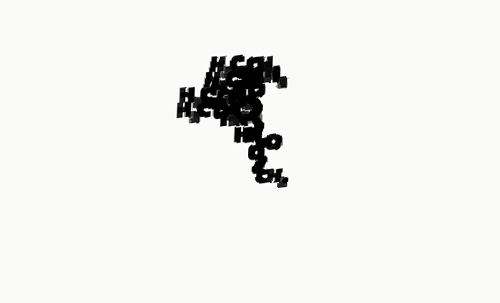 C=CCOC(=O)NC[C@H](CCO[Si](C)(C)C(C)(C)C)NC(=O)OC(C)(C)C